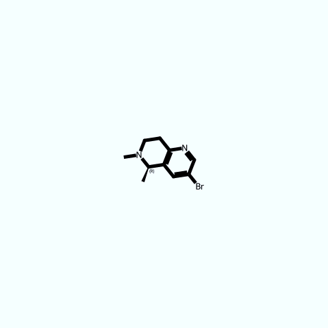 C[C@@H]1c2cc(Br)cnc2CCN1C